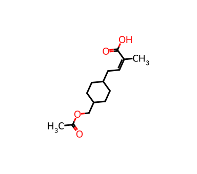 CC(=O)OCC1CCC(CC=C(C)C(=O)O)CC1